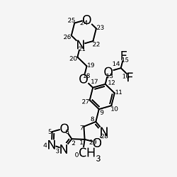 CC1(c2nnco2)CC(c2ccc(OC(F)F)c(OCCN3CCOCC3)c2)=NO1